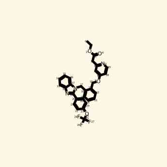 CCOC(=O)Cc1cc(OCc2ccccc2Cn2c(-c3ccc(OC(F)(F)F)cc3)nc3ccccc32)ccn1